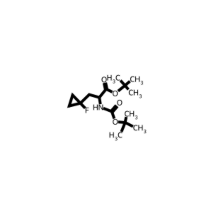 CC(C)(C)OC(=O)NC(CC1(F)CC1)C(=O)OC(C)(C)C